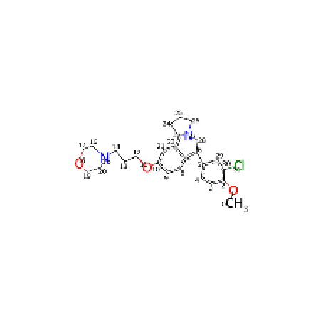 COc1ccc(C2=c3ccc(OCCCN4CCOCC4)cc3=C3CCCN3C2)cc1Cl